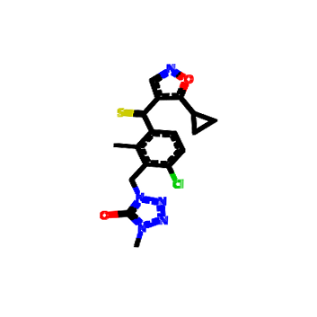 Cc1c(C(=S)c2cnoc2C2CC2)ccc(Cl)c1Cn1nnn(C)c1=O